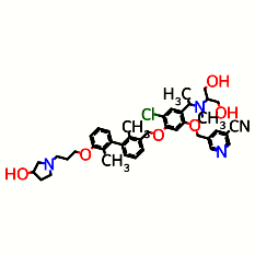 Cc1c(COc2cc(OCc3cncc(C#N)c3)c(C(C)N(C)C(CO)CO)cc2Cl)cccc1-c1cccc(OCCCN2CCC(O)C2)c1C